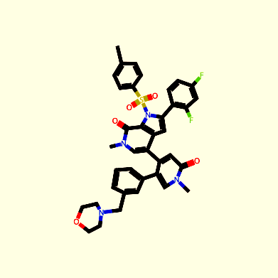 Cc1ccc(S(=O)(=O)n2c(-c3ccc(F)cc3F)cc3c(-c4cc(=O)n(C)cc4-c4cccc(CN5CCOCC5)c4)cn(C)c(=O)c32)cc1